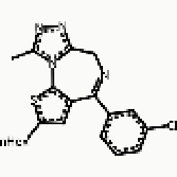 CCCCCCc1cc2c(s1)-n1c(C)nnc1CN=C2c1cccc(Cl)c1